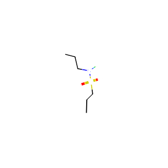 CCCN(Cl)S(=O)(=O)CCC